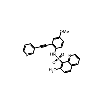 COc1ccc(NS(=O)(=O)c2c(C)ccc3cccnc23)c(C#Cc2cccnc2)c1